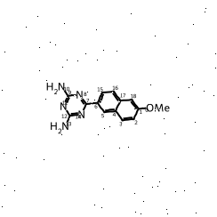 COc1ccc2cc(-c3nc(N)nc(N)n3)ccc2c1